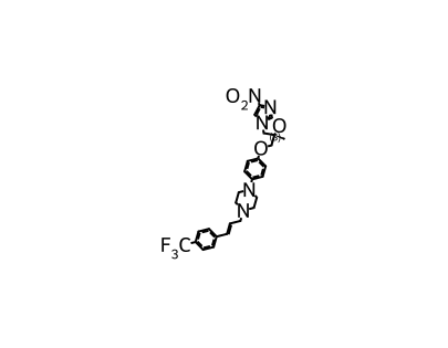 C[C@@]1(COc2ccc(N3CCN(CC=Cc4ccc(C(F)(F)F)cc4)CC3)cc2)Cn2cc([N+](=O)[O-])nc2O1